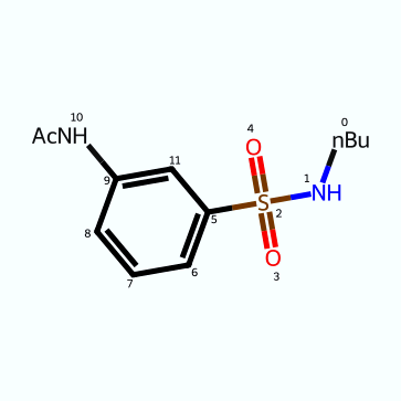 CCCCNS(=O)(=O)c1cccc(NC(C)=O)c1